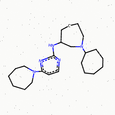 c1cc(N2CCCCCC2)nc(NC2CCCCN(C3CCCCCC3)C2)n1